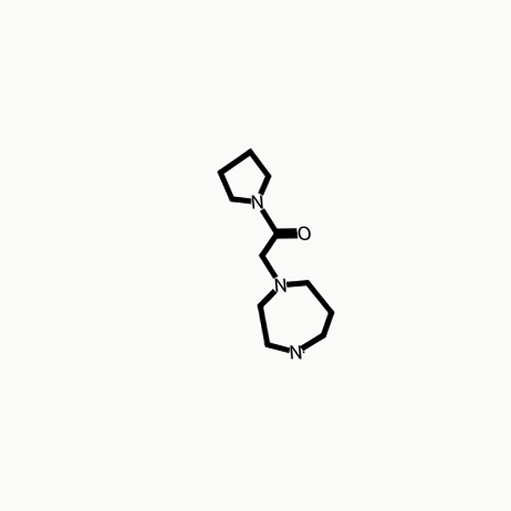 O=C(CN1CCC[N]CC1)N1CCCC1